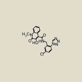 Cn1c(=O)c(O)c(C(=O)NCc2cc(Cl)ccc2-n2cnnn2)c2ccccc21